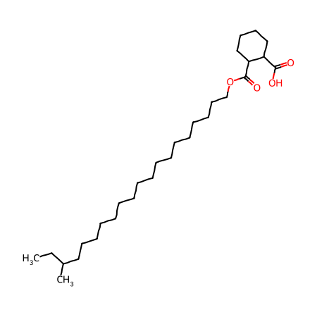 CCC(C)CCCCCCCCCCCCCCCCCOC(=O)C1CCCCC1C(=O)O